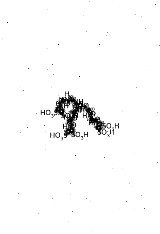 Cn1cc(NC(=O)c2ccc(C(=O)Nc3cc(C(=O)Nc4cc(C(=O)Nc5ccc(S(=O)(=O)O)c6cc(S(=O)(=O)O)ccc56)n(C)c4)n(C)c3)c(C(=O)Nc3cc(C(=O)Nc4cc(C(=O)Nc5ccc(S(=O)(=O)O)c6cc(S(=O)(=O)O)ccc56)n(C)c4)n(C)c3)c2)cc1C(=O)Nc1cc(C(=O)Nc2ccc(S(=O)(=O)O)c3cc(S(=O)(=O)O)ccc23)n(C)c1